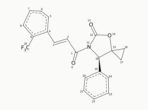 O=C(/C=C/c1ccccc1C(F)(F)F)N1C(=O)OC2(CC2)[C@H]1c1ccccc1